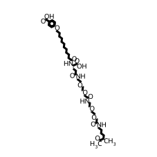 CC(=O)[C@@H](C)CCCCNC(=O)COCCOCCNC(=O)COCCOCCNC(=O)CC[C@H](NC(=O)CCCCCCCCCCCOc1ccc(C(=O)O)cc1)C(=O)O